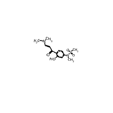 CN(C)/C=C/C(=O)c1ccc(N(C)S(C)(=O)=O)cc1O